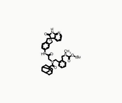 CN(Cc1ccccc1CN(CC(=O)Nc1ccc2c(c1)C[C@@]1(C2)C(=O)Nc2ncccc21)C(=O)C12CC3CC(CC(C3)C1)C2)C(=O)OC(C)(C)C